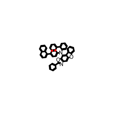 c1ccc(-c2nc3cc4oc5ccccc5c4c(N(c4ccc(-c5cccc6ccccc56)cc4)c4ccccc4-c4ccccc4)c3o2)cc1